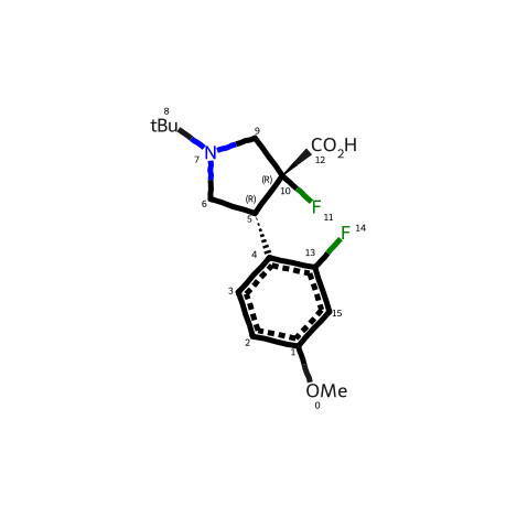 COc1ccc([C@@H]2CN(C(C)(C)C)C[C@@]2(F)C(=O)O)c(F)c1